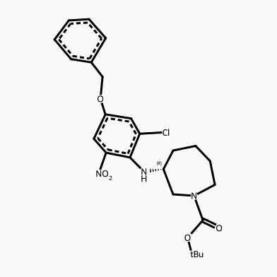 CC(C)(C)OC(=O)N1CCCC[C@@H](Nc2c(Cl)cc(OCc3ccccc3)cc2[N+](=O)[O-])C1